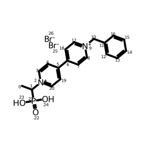 CC([n+]1ccc(-c2cc[n+](Cc3ccccc3)cc2)cc1)P(=O)(O)O.[Br-].[Br-]